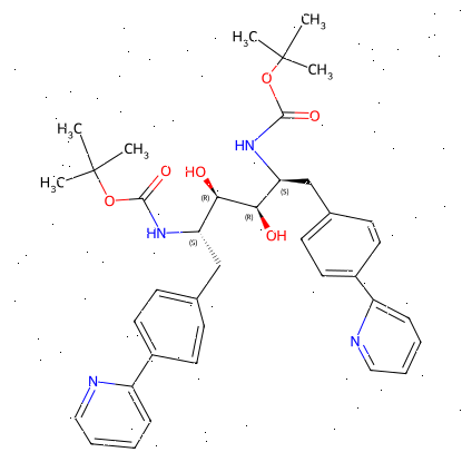 CC(C)(C)OC(=O)N[C@@H](Cc1ccc(-c2ccccn2)cc1)[C@@H](O)[C@H](O)[C@H](Cc1ccc(-c2ccccn2)cc1)NC(=O)OC(C)(C)C